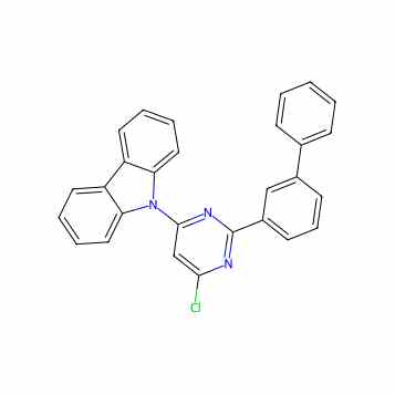 Clc1cc(-n2c3ccccc3c3ccccc32)nc(-c2cccc(-c3ccccc3)c2)n1